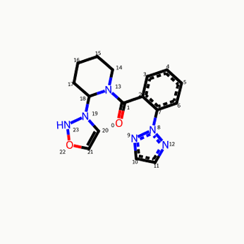 O=C(c1ccccc1-n1nccn1)N1CCCCC1N1C=CON1